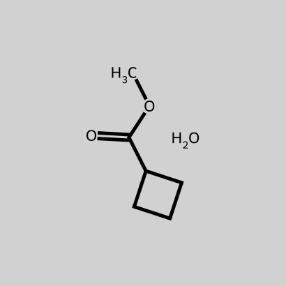 COC(=O)C1CCC1.O